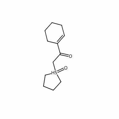 O=C(C[SH]1(=O)CCCC1)C1=CCCCC1